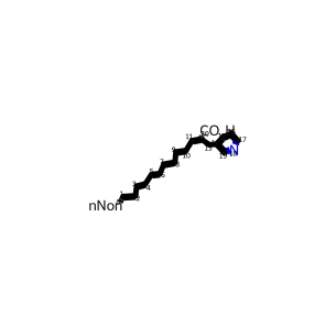 CCCCCCCCC/C=C/C=C/C=C/C=C/C=C/C=C(\Cc1cccnc1)C(=O)O